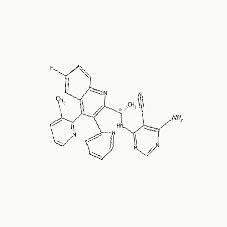 Cc1cccnc1-c1c(-c2ccccn2)c([C@H](C)Nc2ncnc(N)c2C#N)nc2ccc(F)cc12